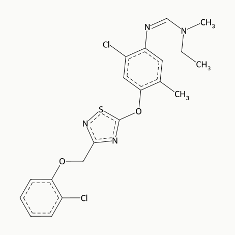 CCN(C)/C=N\c1cc(C)c(Oc2nc(COc3ccccc3Cl)ns2)cc1Cl